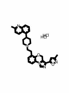 Cc1cc(-c2ncn3c2COc2c(CCN4CCC(c5cccc6nc(C)ccc56)CC4)cccc2-3)on1.Cl.Cl